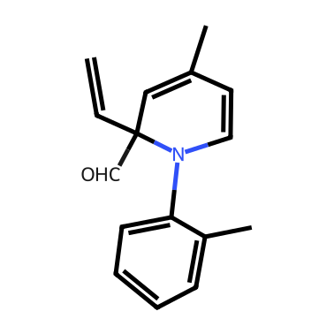 C=CC1(C=O)C=C(C)C=CN1c1ccccc1C